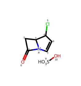 O=C1CC2C(Cl)C=CN12.O=S(=O)(O)O